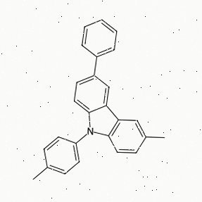 Cc1ccc(-n2c3ccc(C)cc3c3cc(-c4ccccc4)ccc32)cc1